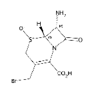 N[C@@H]1C(=O)N2C(C(=O)O)=C(CBr)C[S+]([O-])[C@H]12